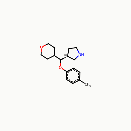 FC(F)(F)c1ccc(OC(C2CCOCC2)[C@H]2CCNC2)cc1